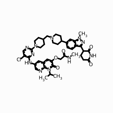 CNC(=O)COc1cc2cc(Nc3nc(N4CCC(CN5CCC(c6ccc7c(C8CCC(=O)NC8=O)nn(C)c7c6)CC5)CC4)ncc3Cl)cnc2n(C(C)C)c1=O